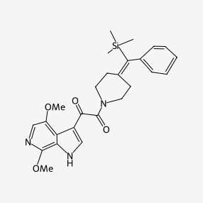 COc1ncc(OC)c2c(C(=O)C(=O)N3CCC(=C(c4ccccc4)[Si](C)(C)C)CC3)c[nH]c12